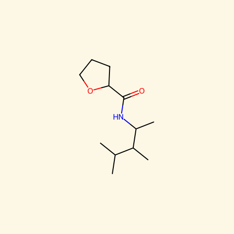 CC(C)C(C)C(C)NC(=O)C1CCCO1